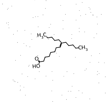 CCCCCC(=CCCCCCCC(=O)O)CCCCC